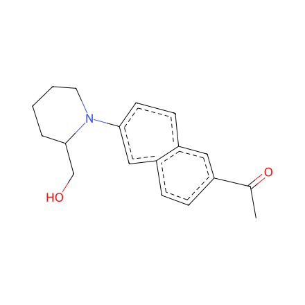 CC(=O)c1ccc2cc(N3CCCCC3CO)ccc2c1